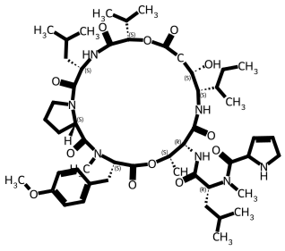 CCC(C)[C@@H]1NC(=O)[C@H](NC(=O)[C@@H](CC(C)C)N(C)C(=O)C2C=CCN2)[C@H](C)OC(=O)[C@H](Cc2ccc(OC)cc2)N(C)C(=O)[C@@H]2CCCN2C(=O)[C@H](CC(C)C)NC(=O)[C@H](C(C)C)OC(=O)C[C@@H]1O